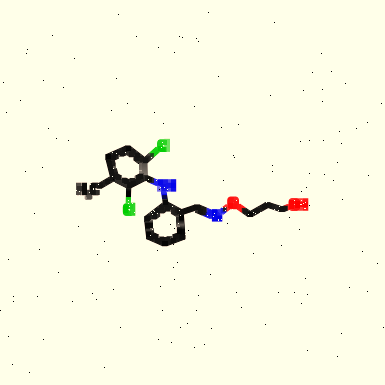 Cc1ccc(Cl)c(Nc2ccccc2C=NOCCCO)c1Cl